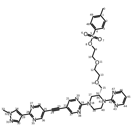 Cc1ccc(S(=O)(=O)OCCOCCOC[C@H]2CN(c3ncc(C#Cc4cnc(-c5cnn(C)c5)nc4)cn3)CCN2c2ncccn2)cc1